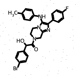 Cc1ccc(Nc2c(-c3ccc(F)cc3)nc3n2CCN(C(=O)C(O)c2ccc(Br)cc2)C3)cc1